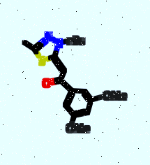 CCCCN1N=C(C)S/C1=C\C(=O)c1cc(OC)cc(OC)c1